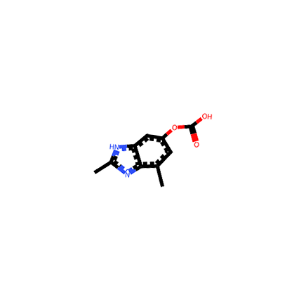 Cc1nc2c(C)cc(OC(=O)O)cc2[nH]1